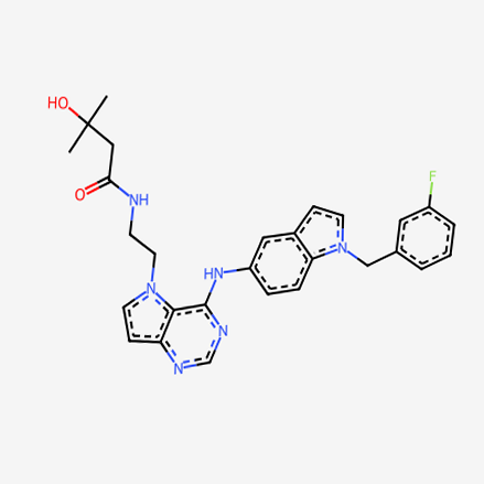 CC(C)(O)CC(=O)NCCn1ccc2ncnc(Nc3ccc4c(ccn4Cc4cccc(F)c4)c3)c21